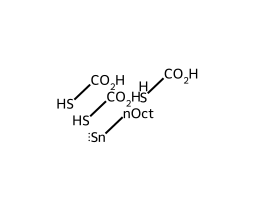 CCCCCCC[CH2][Sn].O=C(O)S.O=C(O)S.O=C(O)S